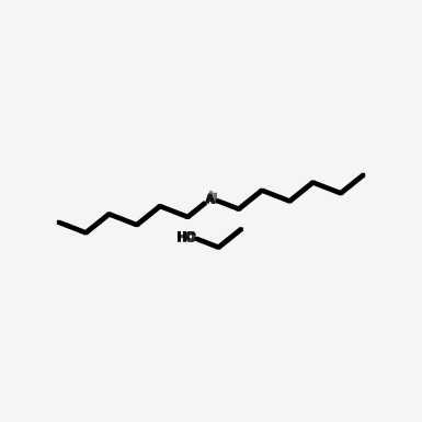 CCCCC[CH2][Al][CH2]CCCCC.CCO